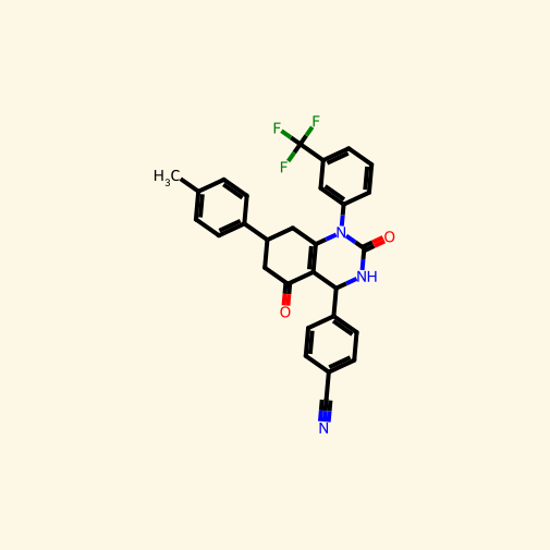 Cc1ccc(C2CC(=O)C3=C(C2)N(c2cccc(C(F)(F)F)c2)C(=O)NC3c2ccc(C#N)cc2)cc1